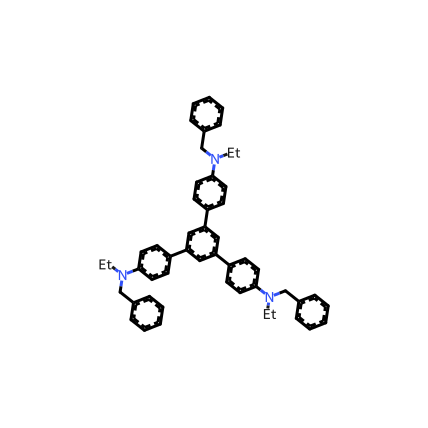 CCN(Cc1ccccc1)c1ccc(-c2cc(-c3ccc(N(CC)Cc4ccccc4)cc3)cc(-c3ccc(N(CC)Cc4ccccc4)cc3)c2)cc1